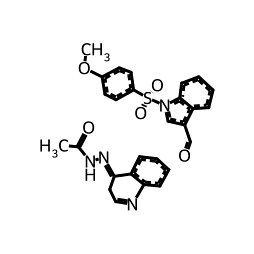 CC(=O)NN=C1CC=Nc2ccccc21.COc1ccc(S(=O)(=O)n2cc(C=O)c3ccccc32)cc1